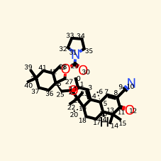 CC(=O)/C=C1/[C@@]2(C)C=C(C#N)C(=O)C(C)(C)[C@@H]2CC[C@@]1(C)C(C)(C)CC[C@@]1(COC(=O)N2CCCC2)CCC(C)(C)CC1C